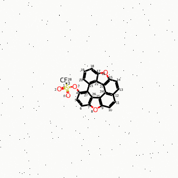 O=S(=O)(Oc1ccc2oc3ccc4ccc5oc6cccc7c6c5c4c3c2c1-7)C(F)(F)F